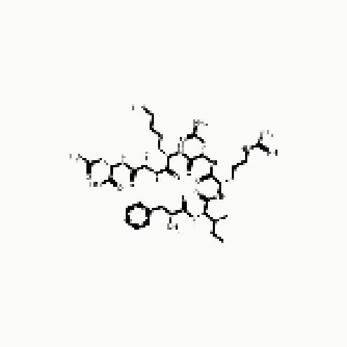 CC[C@H](C)[C@H](NC(=O)[C@@H](N)Cc1ccccc1)C(=O)N[C@@H](CCCNC(=N)N)C(=O)N[C@@H](CC(N)=O)C(=O)N[C@@H](CCCCN)C(=O)N[C@@H](C)C(=O)N[C@@H](CC(N)=O)C(=O)O